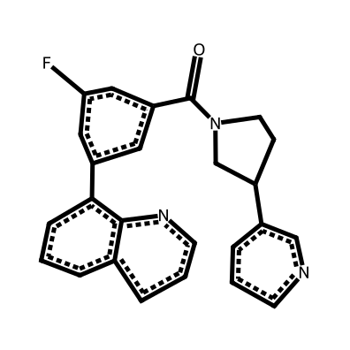 O=C(c1cc(F)cc(-c2cccc3cccnc23)c1)N1CCC(c2cccnc2)C1